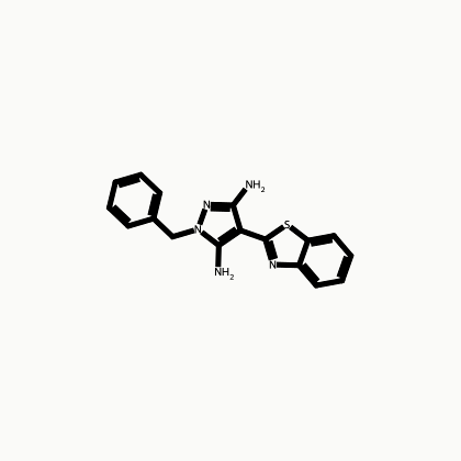 Nc1nn(Cc2ccccc2)c(N)c1-c1nc2ccccc2s1